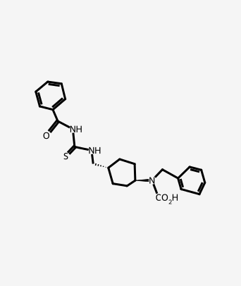 O=C(NC(=S)NC[C@H]1CC[C@H](N(Cc2ccccc2)C(=O)O)CC1)c1ccccc1